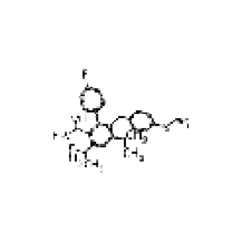 CC(C)c1cc(C(C)C)c(C(C)O)c(-c2ccc(F)cc2)c1Cc1ccc(SC=S)cc1